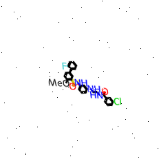 COc1ccc(-c2ccccc2F)cc1[S+]([O-])Nc1cccc(NCCNC(=O)c2cccc(Cl)c2)c1